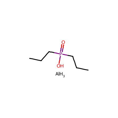 CCCP(=O)(O)CCC.[AlH3]